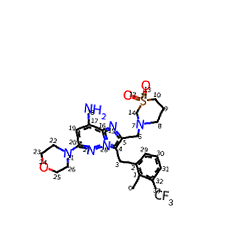 Cc1c(Cc2c(CN3CCCS(=O)(=O)C3)nc3c(N)cc(N4CCOCC4)nn23)cccc1C(F)(F)F